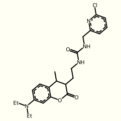 CCN(CC)c1ccc2c(c1)OC(=O)C(CCNC(=O)NCc1cccc(Cl)n1)C2C